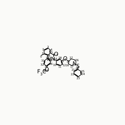 Cc1cccc(C(=O)Nc2cccc(OC3CCN(Sc4ccccc4)CC3)c2)c1-c1ccc(OC(F)(F)F)cc1